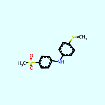 CSc1ccc(Nc2ccc(S(C)(=O)=O)cc2)cc1